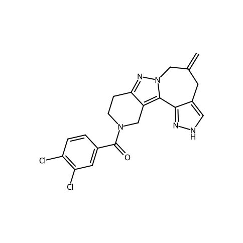 C=C1Cc2c[nH]nc2-c2c3c(nn2C1)CCN(C(=O)c1ccc(Cl)c(Cl)c1)C3